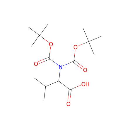 CC(C)C(C(=O)O)N(C(=O)OC(C)(C)C)C(=O)OC(C)(C)C